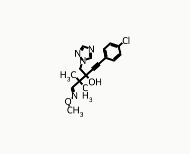 CON=CC(C)(C)C(O)(C#Cc1ccc(Cl)cc1)Cn1cncn1